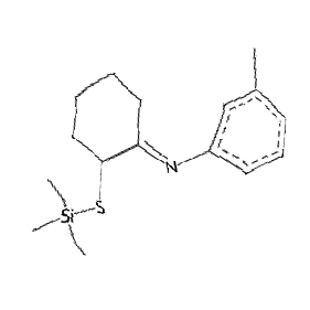 Cc1cccc(N=C2CCCCC2S[Si](C)(C)C)c1